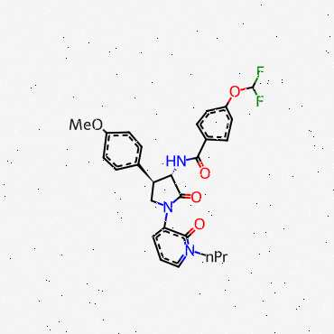 CCCn1cccc(N2C[C@@H](c3ccc(OC)cc3)[C@H](NC(=O)c3ccc(OC(F)F)cc3)C2=O)c1=O